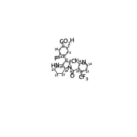 O=C(O)c1ccc(-c2cn(C(=O)c3c(C(F)(F)F)ccnc3Cl)c3c2NCCC3)c(F)c1